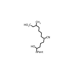 CCCCCC(O)CCCN(C#N)CCCCC(C)CC(=O)O